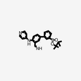 CC1(C)OB(c2cccc(-c3ccc(Nc4ccncc4)c(C=N)c3)c2)OC1(C)C